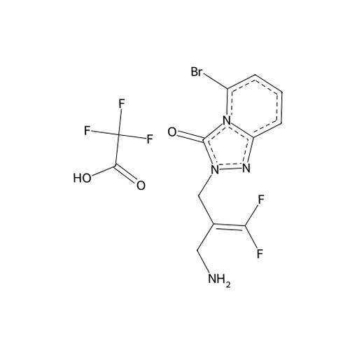 NCC(Cn1nc2cccc(Br)n2c1=O)=C(F)F.O=C(O)C(F)(F)F